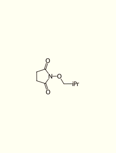 CC(C)CON1C(=O)CCC1=O